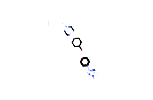 O=C(O)N1CCN(C2CCC(COc3ccc(-n4cnnn4)cc3)CC2)CC1